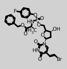 C[C@H](NP(=O)(OCC1O[C@@H](n2cc(/C=C/Br)c(=O)[nH]c2=O)C[C@H]1O)Oc1ccc(F)cc1)C(=O)OCc1ccccc1